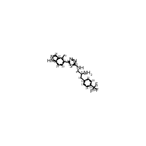 Cc1c(-c2nnc(NCC(N)Cc3ccc(C(F)(F)F)cc3)s2)ccc2[nH]ncc12